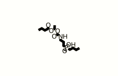 CCCCP(=O)(O)CCCNC(=O)OC(C)OC(=O)CCC